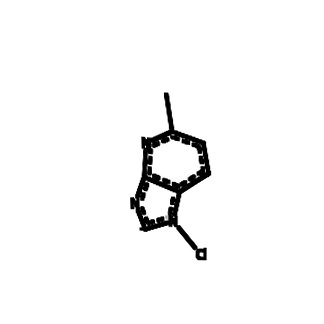 Cc1ccc2c(n[c]n2Cl)n1